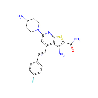 NC(=O)c1sc2nc(N3CCC(N)CC3)cc(/C=C/c3ccc(F)cc3)c2c1N